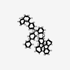 C1=CCC2C(=C1)C1(c3ccccc3-c3cc4c(cc31)Oc1cccc(N(C3=CCC(c5ccccc5)C=C3)c3ccc(-c5cccc6ccccc56)cc3)c1O4)c1ccccc12